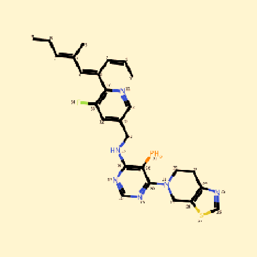 C\C=C/C(=C\C(C)=C\CC)c1ncc(CNc2ncnc(N3CCc4ncsc4C3)c2P)cc1F